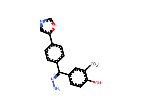 N/N=C(/c1ccc(-c2cnco2)cc1)c1ccc(O)c(C(=O)O)c1